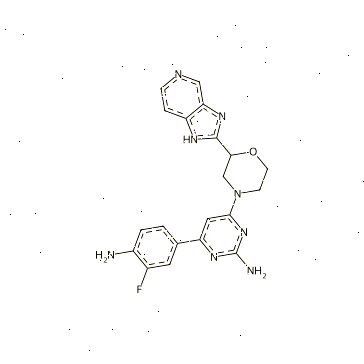 Nc1nc(-c2ccc(N)c(F)c2)cc(N2CCOC(c3nc4cnccc4[nH]3)C2)n1